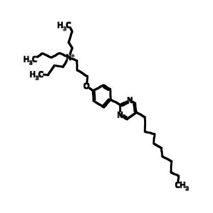 CCCCCCCCCCc1cnc(-c2ccc(OCCC[N+](CCCC)(CCCC)CCCC)cc2)nc1